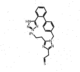 CC(C)CCc1nc(CC=S)nn1Cc1ccc(-c2ccccc2-c2nnn[nH]2)cc1